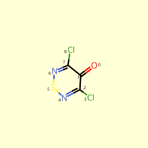 O=c1c(Cl)nsnc1Cl